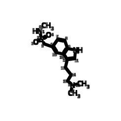 CNS(=O)(=O)Cc1ccc2[nH]cc(CCCN(C)C)c2c1